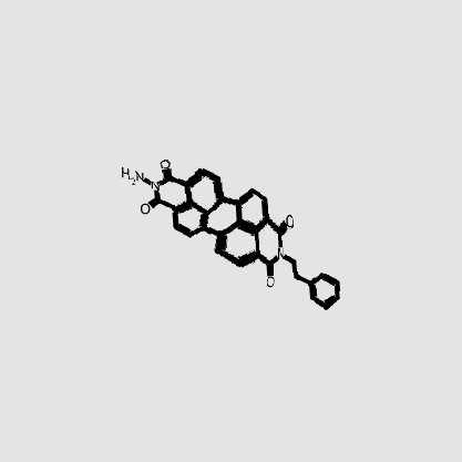 NN1C(=O)c2ccc3c4ccc5c6c(ccc(c7ccc(c2c37)C1=O)c64)C(=O)N(CCc1ccccc1)C5=O